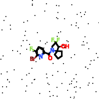 O=C(c1ccc(F)c(Br)n1)N1CC(F)(F)C(O)C12CCCC2